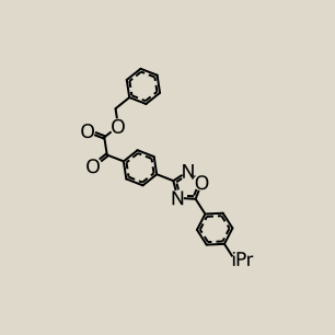 CC(C)c1ccc(-c2nc(-c3ccc(C(=O)C(=O)OCc4ccccc4)cc3)no2)cc1